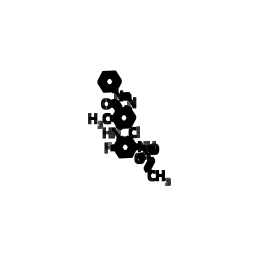 CCCS(=O)(=O)Nc1ccc(F)c(Nc2ccc3ncn(-c4ccccc4)c(=O)c3c2C)c1Cl